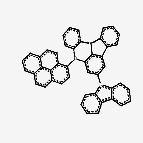 c1ccc2c(c1)B1c3ccccc3N(c3ccc4ccc5cccc6ccc3c4c56)c3cc(-n4c5ccccc5c5ccccc54)cc-2c31